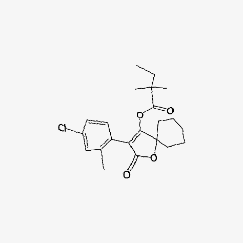 CCC(C)(C)C(=O)OC1=C(c2ccc(Cl)cc2C)C(=O)OC12CCCCC2